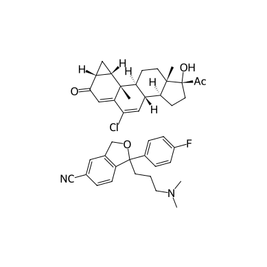 CC(=O)[C@@]1(O)CC[C@H]2[C@@H]3C=C(Cl)C4=CC(=O)[C@@H]5C[C@@H]5[C@]4(C)[C@H]3CC[C@@]21C.CN(C)CCCC1(c2ccc(F)cc2)OCc2cc(C#N)ccc21